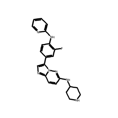 Fc1cc(-c2cnc3ccc(NC4CCNCC4)nn23)ccc1Nc1ccccn1